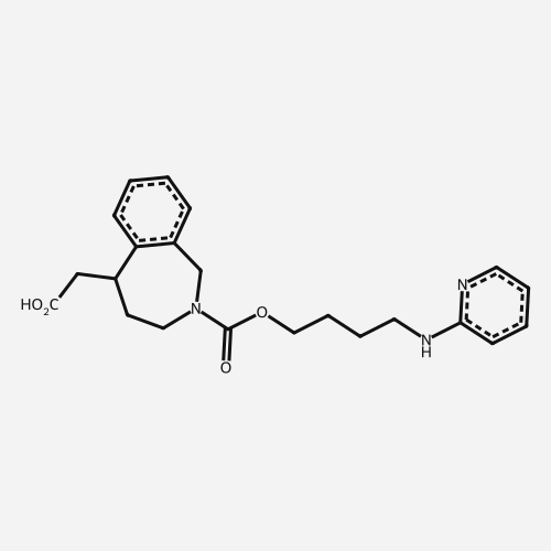 O=C(O)CC1CCN(C(=O)OCCCCNc2ccccn2)Cc2ccccc21